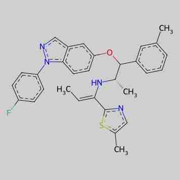 C/C=C(\N[C@@H](C)C(Oc1ccc2c(cnn2-c2ccc(F)cc2)c1)c1cccc(C)c1)c1ncc(C)s1